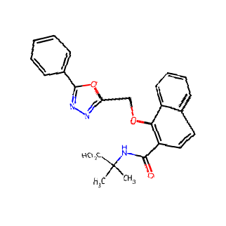 CC(C)(NC(=O)c1ccc2ccccc2c1OCc1nnc(-c2ccccc2)o1)C(=O)O